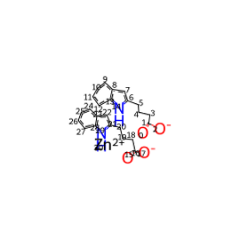 O=C([O-])CCCc1cc2ccccc2[nH]1.O=C([O-])CCCc1cc2ccccc2[nH]1.[Zn+2]